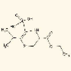 CCOC(=O)[C@@H]1CSC(C(C)C)=C(P(=O)(O)O)N1